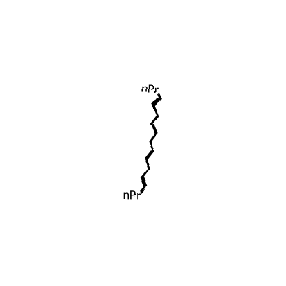 [CH2]CC/C=C/C/C=C/C/C=C/C/C=C/CCC